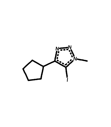 Cn1nnc(C2CCCC2)c1I